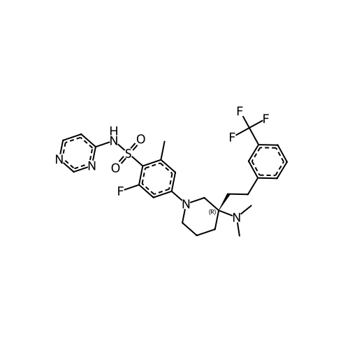 Cc1cc(N2CCC[C@@](CCc3cccc(C(F)(F)F)c3)(N(C)C)C2)cc(F)c1S(=O)(=O)Nc1ccncn1